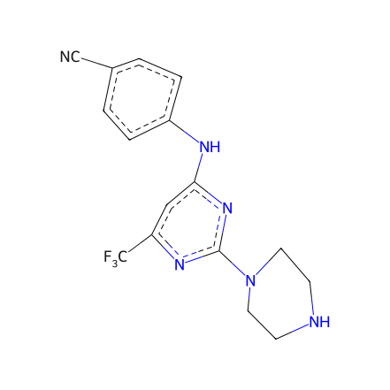 N#Cc1ccc(Nc2cc(C(F)(F)F)nc(N3CCNCC3)n2)cc1